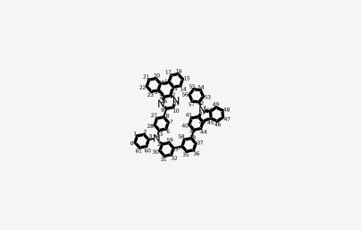 c1ccc(N(c2ccc(-c3cnc4c5ccccc5c5ccccc5c4n3)cc2)c2cccc(-c3cccc(-c4ccc5c(c4)c4ccccc4n5-c4ccccc4)c3)c2)cc1